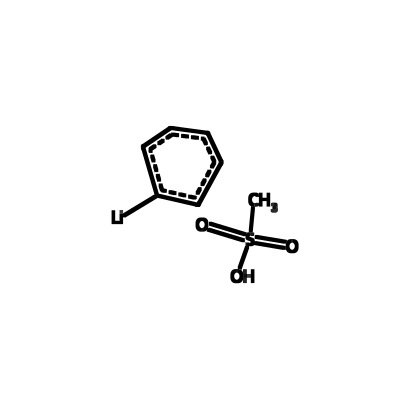 CS(=O)(=O)O.[Li][c]1ccccc1